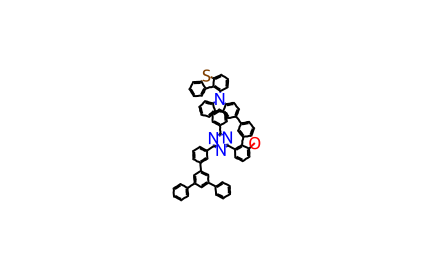 c1ccc(-c2cc(-c3ccccc3)cc(-c3cccc(-c4nc(-c5ccccc5)nc(-c5cccc6oc7ccc(-c8ccc9c(c8)c8ccccc8n9-c8cccc9sc%10ccccc%10c89)cc7c56)n4)c3)c2)cc1